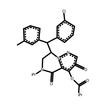 Cc1cccc(C(c2cccc(Cl)c2)C2CN(C(C)C)C(=O)c3c(OC(=O)C(C)C)c(=O)cnn32)c1